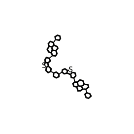 c1ccc(-c2ccc3ccc4c(-c5ccc6sc7ccc(-c8cccc(-c9ccc%10sc%11ccc(-c%12ccc%13ccc%14c(-c%15ccccc%15)ccc%15ccc%12c%13c%15%14)cc%11c%10c9)c8)cc7c6c5)ccc5ccc2c3c54)cc1